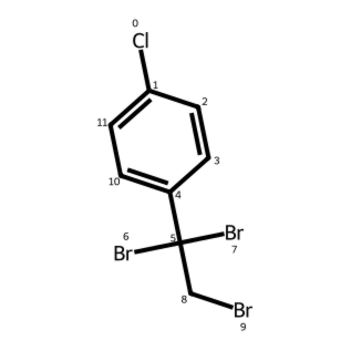 Clc1ccc(C(Br)(Br)CBr)cc1